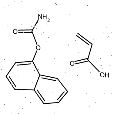 C=CC(=O)O.NC(=O)Oc1cccc2ccccc12